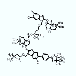 CC(C)(C)[Si]1(C(C)(C)C)OC[C@H]2OC[C@@H](Oc3nc4cc(I)c(Cl)cc4n3COCC[Si](C)(C)C)[C@@H]2O1.CC1(C)OB(c2ccc(-c3cc4nc(O[C@@H]5CO[C@@H]6CO[Si](C(C)(C)C)(C(C)(C)C)O[C@H]65)n(COCC[Si](C)(C)C)c4cc3Cl)cc2)OC1(C)C